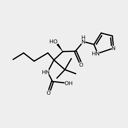 CCCCC(NC(=O)O)([C@@H](O)C(=O)Nc1ccn[nH]1)C(C)(C)C